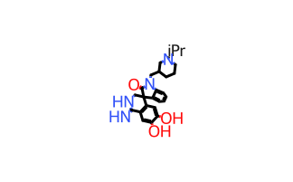 CC(C)N1CCCC(CN2C(=O)C3(CNC(=N)c4cc(O)c(O)cc43)c3ccccc32)C1